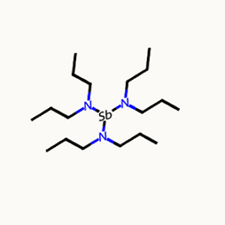 CCC[N](CCC)[Sb]([N](CCC)CCC)[N](CCC)CCC